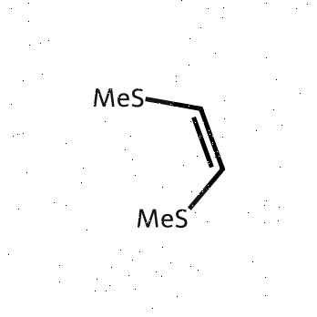 CS/C=C\SC